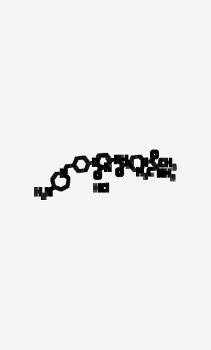 CC(C)(N)C(=O)N1CCN(C(=O)Nc2ccn(C3CCC(CN4CCCC(N)CC4)CC3)c(=O)n2)CC1.Cl